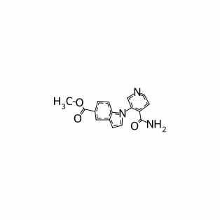 COC(=O)c1ccc2c(ccn2-c2cnccc2C(N)=O)c1